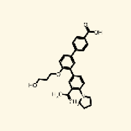 C=C(C)c1cc(-c2cc(-c3ccc(C(=O)O)cc3)ccc2OCCCO)ccc1N1CCCC1